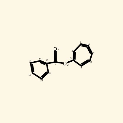 O=C(OC1=CC=C=CC=C1)c1ccccc1